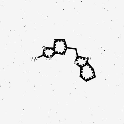 Cc1nc2cc(Cc3nc4ccccc4[nH]3)ccc2o1